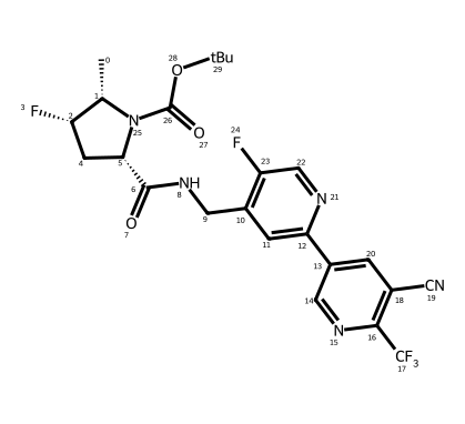 C[C@H]1[C@@H](F)C[C@@H](C(=O)NCc2cc(-c3cnc(C(F)(F)F)c(C#N)c3)ncc2F)N1C(=O)OC(C)(C)C